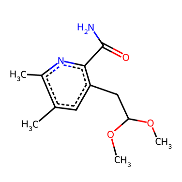 COC(Cc1cc(C)c(C)nc1C(N)=O)OC